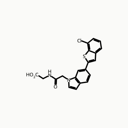 O=C(O)CNC(=O)Cn1ccc2ccc(-c3cc4cccc(Cl)c4s3)cc21